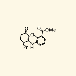 COC(=O)c1cccc(NC2=CC(=O)CCC2C(C)C)c1Cl